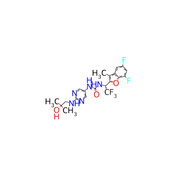 Cc1c([C@H](NC(=O)Nc2cnc(NCC(C)(C)O)nc2)C(F)(F)F)oc2c(F)cc(F)cc12